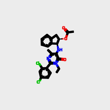 CCn1c(-c2ccc(Cl)cc2Cl)nc(C)c(N[C@H]2c3ccccc3C[C@@H]2OC(C)=O)c1=O